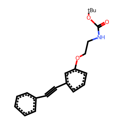 CC(C)(C)OC(=O)NCCOc1cccc(C#Cc2ccccc2)c1